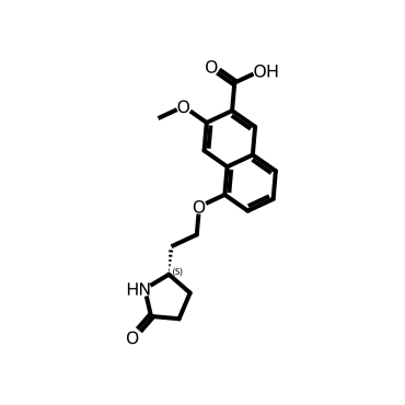 COc1cc2c(OCC[C@@H]3CCC(=O)N3)cccc2cc1C(=O)O